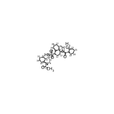 CC(=O)N1CCC(NS(=O)(=O)c2ccc(NC(=O)c3ccccc3C)c3ccccc23)c2ccccc21